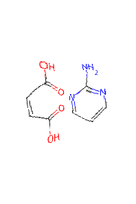 Nc1ncccn1.O=C(O)/C=C\C(=O)O